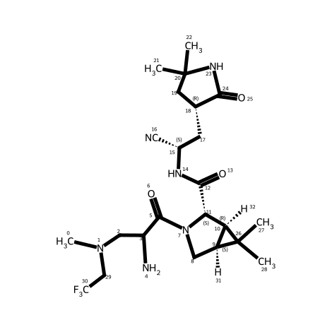 CN(CC(N)C(=O)N1C[C@H]2[C@@H]([C@H]1C(=O)N[C@H](C#N)C[C@@H]1CC(C)(C)NC1=O)C2(C)C)CC(F)(F)F